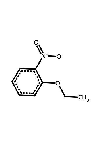 CCOc1ccccc1[N+](=O)[O-]